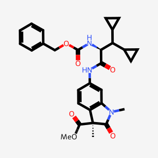 COC(=O)[C@]1(C)C(=O)N(C)c2cc(NC(=O)[C@@H](NC(=O)OCc3ccccc3)C(C3CC3)C3CC3)ccc21